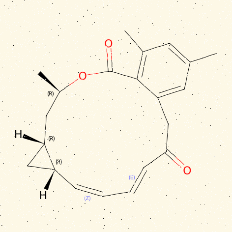 Cc1cc(C)c2c(c1)CC(=O)/C=C/C=C\[C@@H]1C[C@@H]1C[C@@H](C)OC2=O